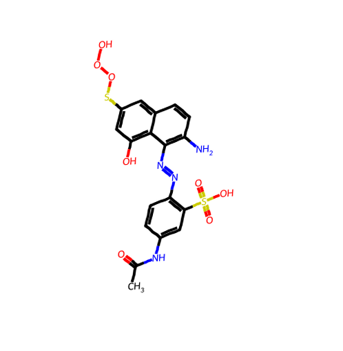 CC(=O)Nc1ccc(/N=N/c2c(N)ccc3cc(SOOO)cc(O)c23)c(S(=O)(=O)O)c1